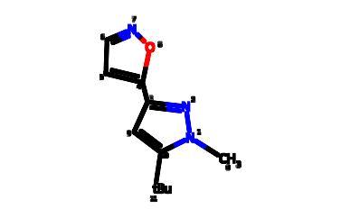 Cn1nc(-c2ccno2)cc1C(C)(C)C